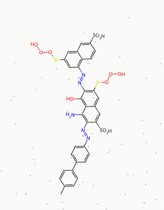 Cc1ccc(-c2ccc(/N=N/c3c(S(=O)(=O)O)cc4cc(SOOO)c(/N=N/c5cc(SOOO)cc6cc(S(=O)(=O)O)ccc56)c(O)c4c3N)cc2)cc1